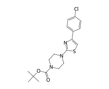 CC(C)(C)OC(=O)N1CCN(c2nc(-c3ccc(Cl)cc3)cs2)CC1